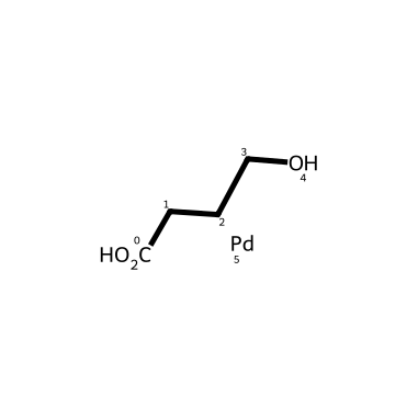 O=C(O)CCCO.[Pd]